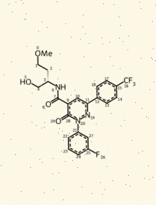 COCC[C@@H](CO)NC(=O)c1cc(-c2ccc(C(F)(F)F)cc2)nn(-c2cccc(F)c2)c1=O